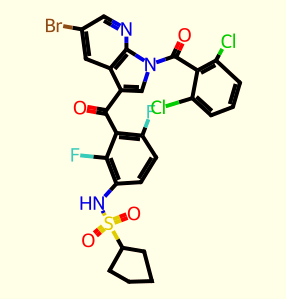 O=C(c1c(F)ccc(NS(=O)(=O)C2CCCC2)c1F)c1cn(C(=O)c2c(Cl)cccc2Cl)c2ncc(Br)cc12